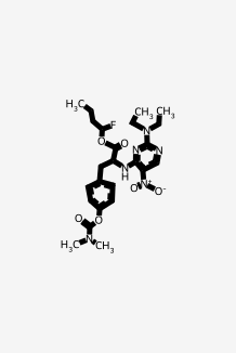 CCCC(F)OC(=O)C(Cc1ccc(OC(=O)N(C)C)cc1)Nc1nc(N(CC)CC)ncc1[N+](=O)[O-]